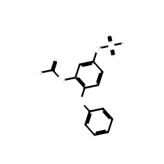 CS(=O)(=O)Nc1ccc(Oc2ccccc2)c(NC(N)=S)c1